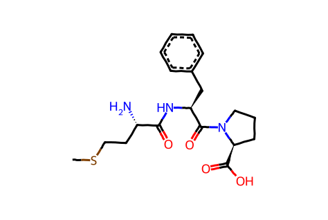 CSCC[C@H](N)C(=O)N[C@@H](Cc1ccccc1)C(=O)N1CCC[C@H]1C(=O)O